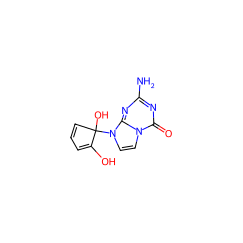 Nc1nc(=O)n2ccn(C3(O)C=CC=C3O)c2n1